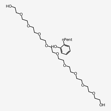 CCCCCc1ccccc1O.OCCOCCOCCOCCOCCOCCOCCOCCOCCOCCO